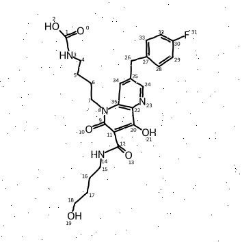 O=C(O)NCCCCn1c(=O)c(C(=O)NCCCCO)c(O)c2ncc(Cc3ccc(F)cc3)cc21